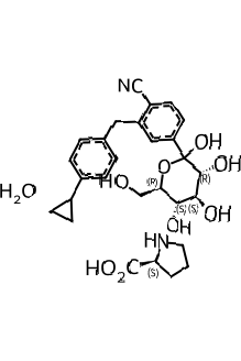 N#Cc1ccc(C2(O)O[C@H](CO)[C@@H](O)[C@H](O)[C@H]2O)cc1Cc1ccc(C2CC2)cc1.O.O=C(O)[C@@H]1CCCN1